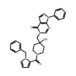 O=C(c1cccn1Cc1ccccc1)N1CCC(O)(Cn2cnc3c(cnn3-c3ccccc3)c2=O)CC1